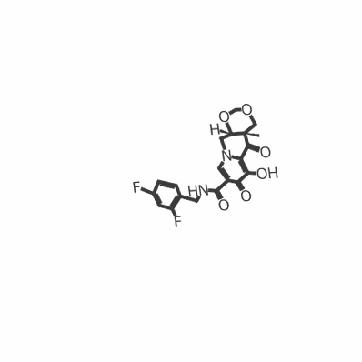 C[C@]12COCO[C@H]1Cn1cc(C(=O)NCc3ccc(F)cc3F)c(=O)c(O)c1C2=O